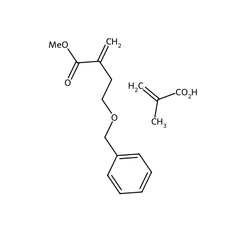 C=C(C)C(=O)O.C=C(CCOCc1ccccc1)C(=O)OC